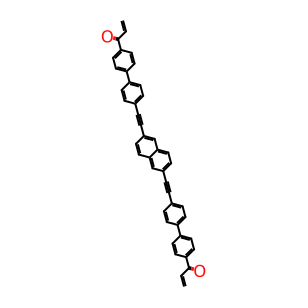 C=CC(=O)c1ccc(-c2ccc(C#Cc3ccc4cc(C#Cc5ccc(-c6ccc(C(=O)C=C)cc6)cc5)ccc4c3)cc2)cc1